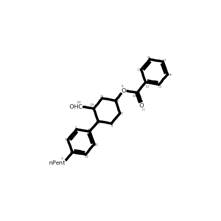 CCCCCc1ccc(C2CCC(OC(=O)c3ccccc3)CC2C=O)cc1